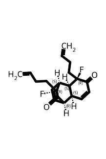 C=CCC[C@]1(F)C(=O)C=C[C@@H]2[C@H]1[C@@H]1C=C[C@H]2C(=O)[C@@]1(F)CCC=C